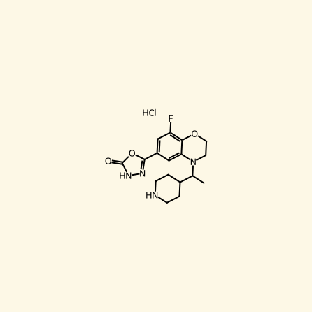 CC(C1CCNCC1)N1CCOc2c(F)cc(-c3n[nH]c(=O)o3)cc21.Cl